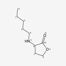 CCCCCNC1CCOC1=O